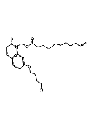 C=CCCCCCCCCC(=O)OCn1c(=O)ccc2ccc(OCCCCCl)cc21